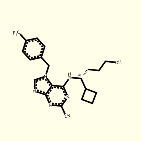 N#Cc1nc(N[C@H](CCCO)C2CCC2)c2c(ncn2Cc2ccc(C(F)(F)F)cc2)n1